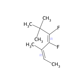 C/C=C(C)\C(F)=C(\F)C(C)(C)C